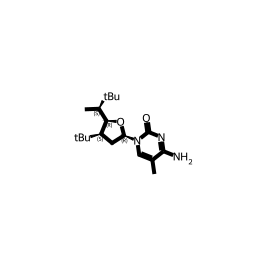 Cc1cn([C@H]2C[C@@H](C(C)(C)C)[C@@H]([C@@H](C)C(C)(C)C)O2)c(=O)nc1N